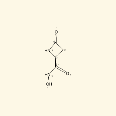 O=C1C[C@@H](C(=O)NO)N1